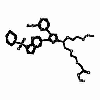 CCCCCCOCCOC(COCCOCC(=O)OC(C)(C)C)n1cc(-c2ccnc(SC)n2)c(-c2cnc3c(ccn3S(=O)(=O)c3ccccc3)c2)n1